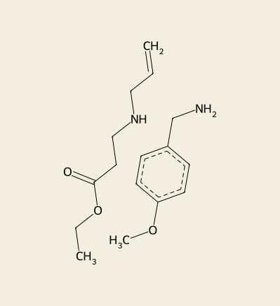 C=CCNCCC(=O)OCC.COc1ccc(CN)cc1